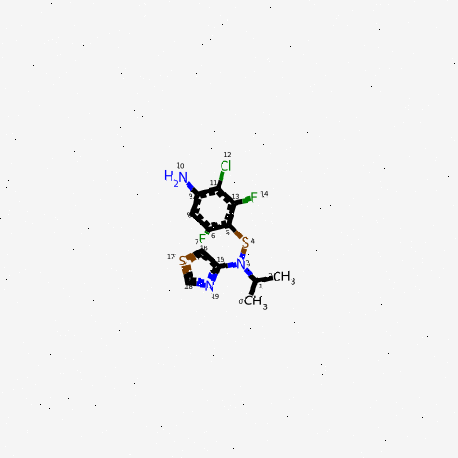 CC(C)N(Sc1c(F)cc(N)c(Cl)c1F)c1cscn1